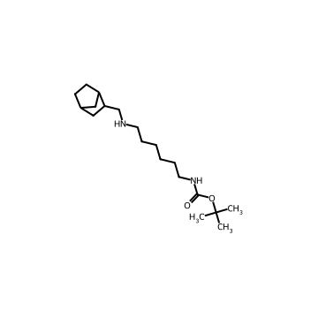 CC(C)(C)OC(=O)NCCCCCCNCC1CC2CCC1C2